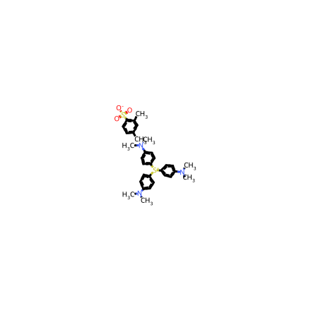 CN(C)c1ccc([S+](c2ccc(N(C)C)cc2)c2ccc(N(C)C)cc2)cc1.Cc1ccc(S(=O)(=O)[O-])c(C)c1